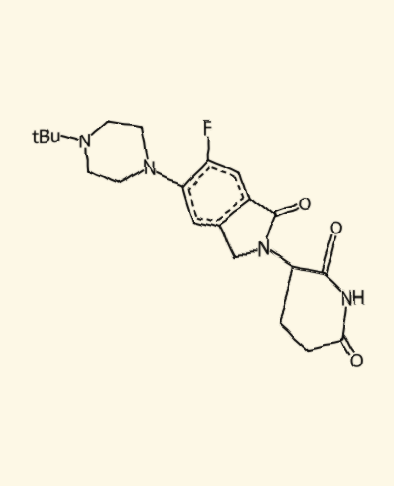 CC(C)(C)N1CCN(c2cc3c(cc2F)C(=O)N(C2CCC(=O)NC2=O)C3)CC1